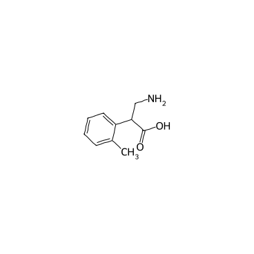 Cc1ccccc1C(CN)C(=O)O